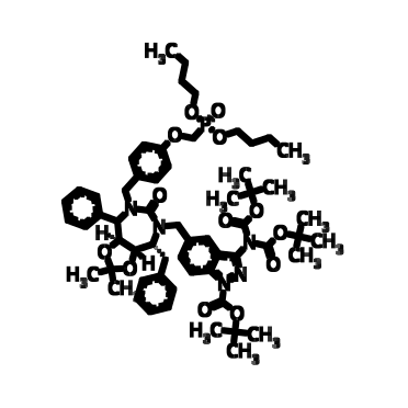 CCCCOP(=O)(COc1ccc(CN2C(=O)N(Cc3ccc4c(c3)c(N(C(=O)OC(C)(C)C)C(=O)OC(C)(C)C)nn4C(=O)OC(C)(C)C)[C@H](Cc3ccccc3)[C@@H]3OC(C)(C)O[C@H]3C2c2ccccc2)cc1)OCCCC